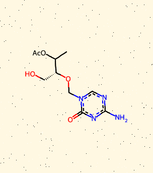 CC(=O)OC(C)[C@@H](CO)OCn1cnc(N)nc1=O